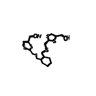 OCC1CSC(CSCC2CCCCC2CSCC2SCC(CO)S2)S1